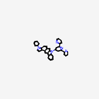 c1ccc(-n2ccc3c4cc5c6ccccc6n(-c6cc(-c7ccccn7)nc(-c7ccccn7)c6)c5cc4ccc32)cc1